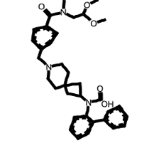 COC(CN(C)C(=O)c1ccc(CN2CCC3(CC2)CC(N(C(=O)O)c2ccccc2-c2ccccc2)C3)cc1)OC